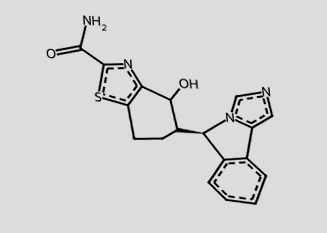 NC(=O)c1nc2c(s1)CCC([C@@H]1c3ccccc3-c3cncn31)C2O